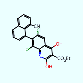 CCOC(=O)c1c(O)nc2c(F)c(-c3cccc4cccc(C#N)c34)c(Cl)cc2c1O